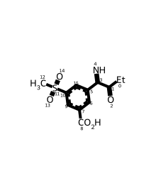 CCC(=O)C(=N)c1cc(C(=O)O)cc(S(C)(=O)=O)c1